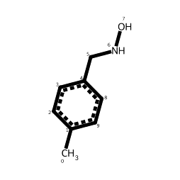 Cc1ccc(CNO)cc1